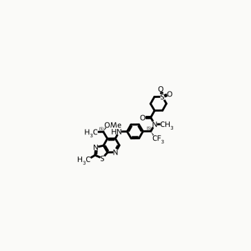 CO[C@@H](C)c1c(Nc2ccc([C@H](N(C)C(=O)C3CCS(=O)(=O)CC3)C(F)(F)F)cc2)cnc2sc(C)nc12